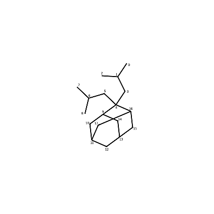 CC(C)CC1(CC(C)C)C2CC3CC(C2)CC1C3